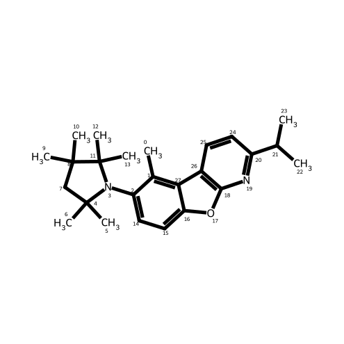 Cc1c(N2C(C)(C)CC(C)(C)C2(C)C)ccc2oc3nc(C(C)C)ccc3c12